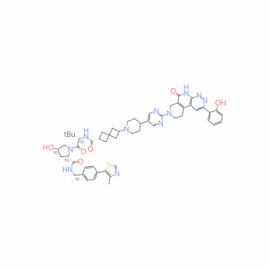 Cc1ncsc1-c1ccc([C@H](C)NC(=O)[C@@H]2C[C@@H](O)CN2C(=O)[C@@H](NC(=O)[C@H]2CC3(C2)C[C@H](N2CCC(c4cnc(N5CCc6c(c(=O)[nH]c7nnc(-c8ccccc8O)cc67)C5)nc4)CC2)C3)C(C)(C)C)cc1